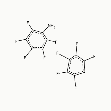 Fc1cc(F)c(F)c(F)c1F.Nc1c(F)c(F)c(F)c(F)c1F